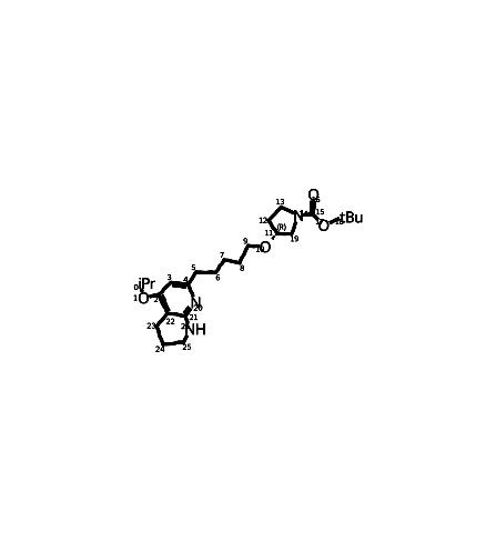 CC(C)Oc1cc(CCCCCO[C@@H]2CCN(C(=O)OC(C)(C)C)C2)nc2c1CCCN2